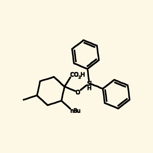 CCCCC1CC(C)CCC1(O[SiH](c1ccccc1)c1ccccc1)C(=O)O